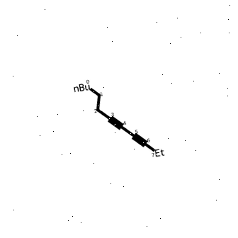 [CH2]CCCCCC#CC#CCC